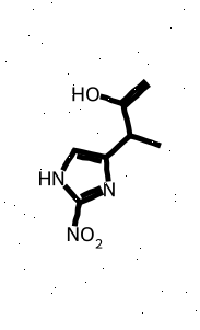 C=C(O)C(C)c1c[nH]c([N+](=O)[O-])n1